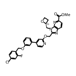 COC(=O)c1ccc2nc(COc3cc(-c4cccc(OCc5ccc(Cl)cc5F)c4)ccn3)n(C[C@@H]3CCO3)c2n1